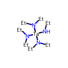 CC[NH][Ta]([N](CC)CC)([N](CC)CC)[N](CC)CC